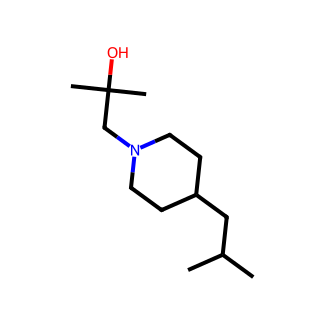 CC(C)CC1CCN(CC(C)(C)O)CC1